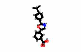 CC(C)c1ccc(C2=NCC(c3cccc(C(=O)O)c3)O2)cc1